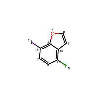 Fc1ccc(I)c2occc12